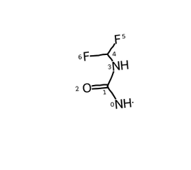 [NH]C(=O)NC(F)F